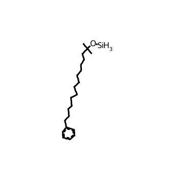 CC(C)(CCCCCCCCCCCCCc1ccccc1)O[SiH3]